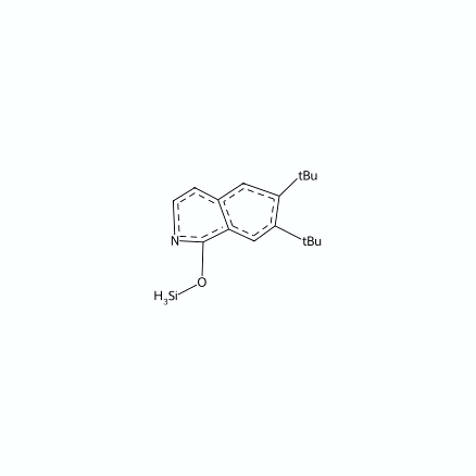 CC(C)(C)c1cc2ccnc(O[SiH3])c2cc1C(C)(C)C